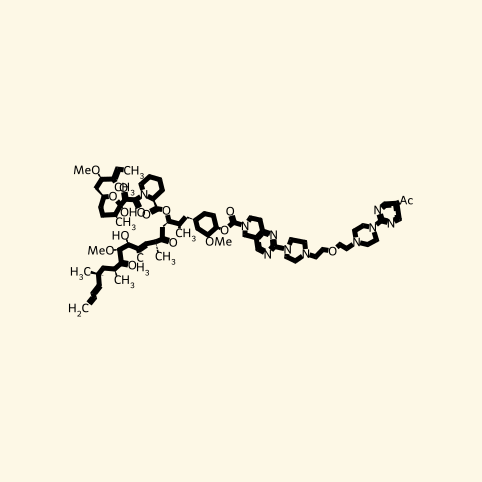 C=C/C=C/[C@@H](C)C[C@@H](C)C(=O)[C@H](OC)[C@H](O)/C(C)=C/[C@@H](C)C(=O)C[C@H](OC(=O)[C@@H]1CCCCN1C(=O)C(=O)[C@]1(O)O[C@H](C[C@H](OC)/C(C)=C/C)CC[C@H]1C)[C@H](C)C[C@@H]1CC[C@@H](OC(=O)N2CCc3nc(N4CCN(CCOCCN5CCN(c6ncc(C(C)=O)cn6)CC5)CC4)ncc3C2)[C@H](OC)C1